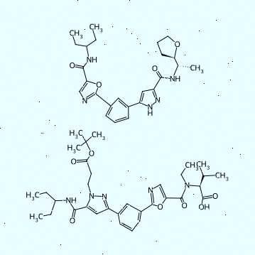 CCC(CC)NC(=O)c1cc(-c2cccc(-c3ncc(C(=O)N(CC)[C@H](C(=O)O)C(C)C)o3)c2)nn1CCC(=O)OC(C)(C)C.CCC(CC)NC(=O)c1cnc(-c2cccc(-c3cc(C(=O)N[C@@H](C)[C@H]4CCCO4)n[nH]3)c2)o1